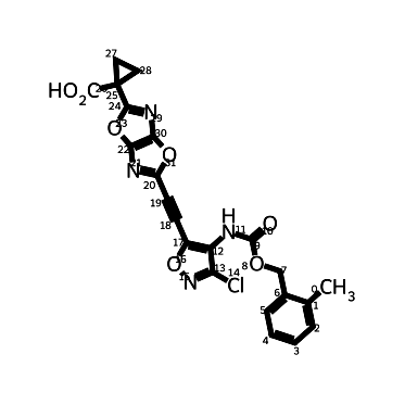 Cc1ccccc1COC(=O)Nc1c(Cl)noc1C#Cc1nc2oc(C3(C(=O)O)CC3)nc2o1